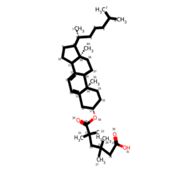 CC(C)CCC[C@@H](C)C1CCC2C3=CC=C4C[C@@H](OC(=O)C(C)(C)CC(C)(C)CC(=O)O)CC[C@]4(C)C3CC[C@@]21C